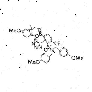 COc1ccc(CN(Cc2ccc(OC)cc2)[S+]([O-])c2c(C(F)(F)F)ccc(B3OCC(C)(C)CO3)c2-c2nnnn2Cc2ccc(OC)cc2)cc1